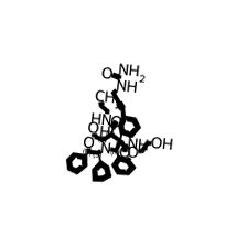 C=CCNC(=O)[C@@H]1[C@H]2C(=O)O[C@H](c3ccccc3)[C@H](c3ccccc3)N2[C@H](c2ccccc2OCCO)[C@@]12C(=O)Nc1ccc(C#CCNC(N)=O)cc12